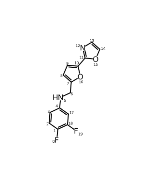 Fc1ccc(NCc2ccc(-c3ncco3)o2)cc1F